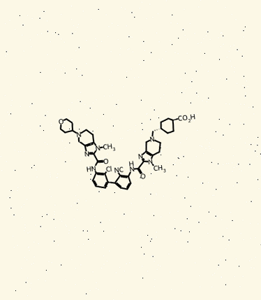 Cn1c(C(=O)Nc2cccc(-c3cccc(NC(=O)c4nc5c(n4C)CCN(C[C@H]4CC[C@H](C(=O)O)CC4)C5)c3C#N)c2Cl)nc2c1CCN(C1CCOCC1)C2